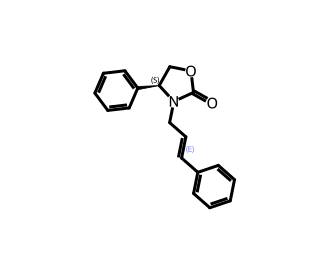 O=C1OC[C@H](c2ccccc2)N1C/C=C/c1ccccc1